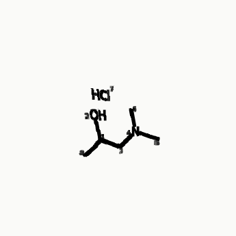 CC(O)CN(C)C.Cl